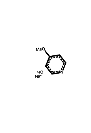 COc1ccncc1.[Na+].[OH-]